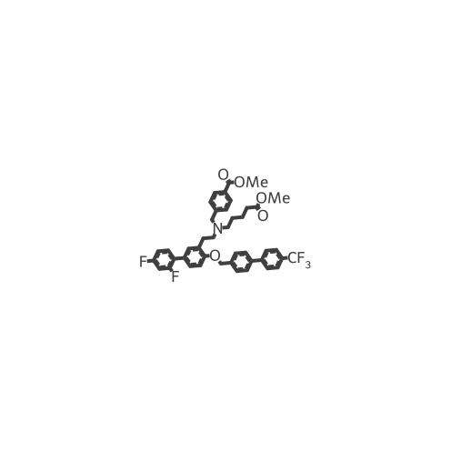 COC(=O)CCCCN(CCc1cc(-c2ccc(F)cc2F)ccc1OCc1ccc(-c2ccc(C(F)(F)F)cc2)cc1)Cc1ccc(C(=O)OC)cc1